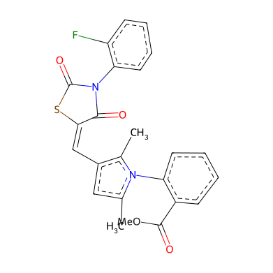 COC(=O)c1ccccc1-n1c(C)cc(C=C2SC(=O)N(c3ccccc3F)C2=O)c1C